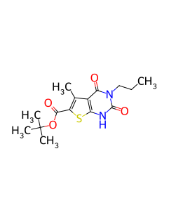 CCCn1c(=O)[nH]c2sc(C(=O)OC(C)(C)C)c(C)c2c1=O